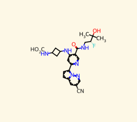 CC(C)(O)[C@H](F)CNC(=O)c1cnc(-c2ccc3cc(C#N)cnn23)cc1NC1CC(NC(=O)O)C1